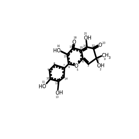 CC1(O)C=c2oc(-c3ccc(O)c(O)c3)c(O)c(=O)c2=C(O)C1=O